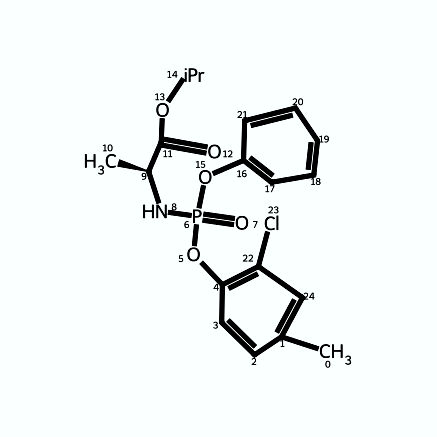 Cc1ccc(OP(=O)(N[C@@H](C)C(=O)OC(C)C)Oc2ccccc2)c(Cl)c1